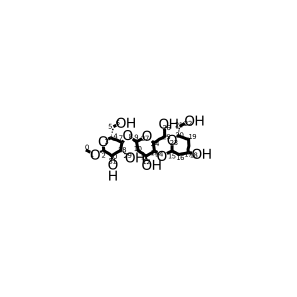 CO[C@H]1O[C@H](CO)C(OC2C[C@H](O)C(OC3CC(O)C[C@@H](CO)O3)C(CO)O2)[C@H](O)[C@H]1O